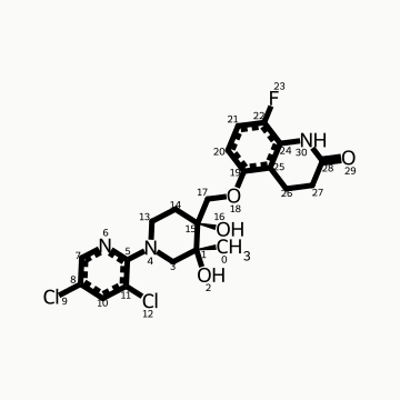 C[C@@]1(O)CN(c2ncc(Cl)cc2Cl)CC[C@]1(O)COc1ccc(F)c2c1CCC(=O)N2